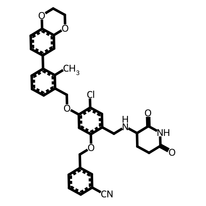 Cc1c(COc2cc(OCc3cccc(C#N)c3)c(CNC3CCC(=O)NC3=O)cc2Cl)cccc1-c1ccc2c(c1)OCCO2